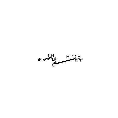 CCCC(C)(C)CCCCCCCCCC(=O)SCCC(C)CCCC(C)C